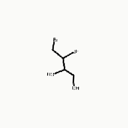 OCC(O)C(Br)CBr